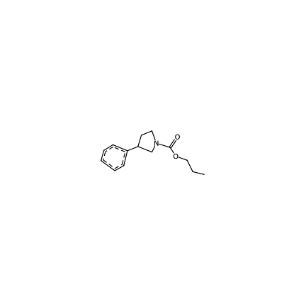 CCCOC(=O)N1CCC(c2ccccc2)C1